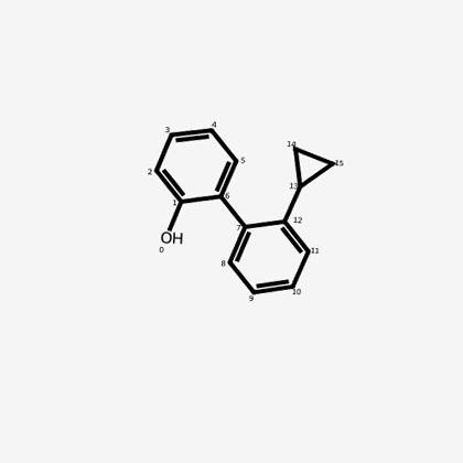 Oc1ccccc1-c1ccccc1C1CC1